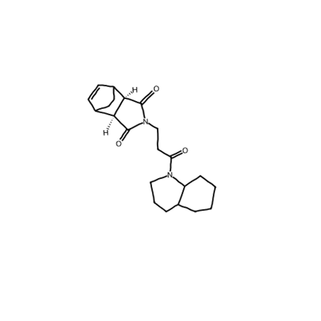 O=C1[C@@H]2C3C=CC(CC3)[C@@H]2C(=O)N1CCC(=O)N1CCCC2CCCCC21